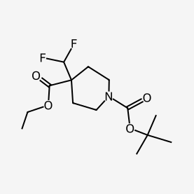 CCOC(=O)C1(C(F)F)CCN(C(=O)OC(C)(C)C)CC1